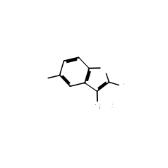 CC(=O)Nc1c(C(C)=O)sc2ccc(C(C)C)cc12